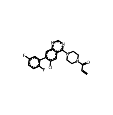 C=CC(=O)N1CCN(c2ncnc3cc(-c4cc(F)ccc4F)c(Cl)cc23)CC1